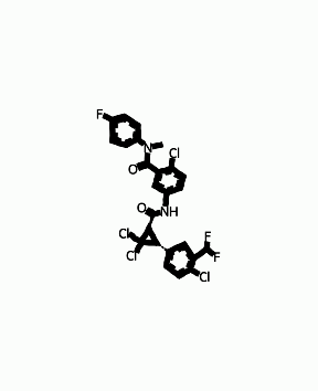 CN(C(=O)c1cc(NC(=O)[C@H]2[C@H](c3ccc(Cl)c(C(F)F)c3)C2(Cl)Cl)ccc1Cl)c1ccc(F)cc1